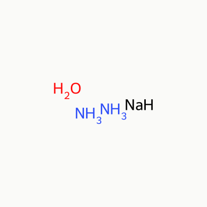 N.N.O.[NaH]